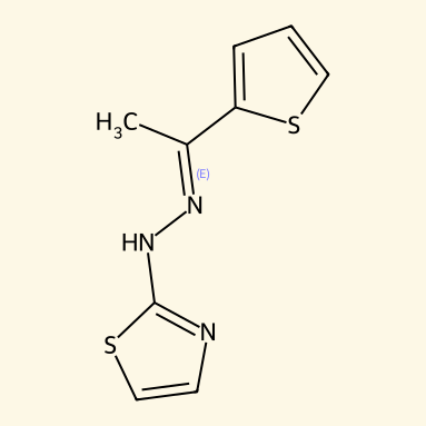 C/C(=N\Nc1nccs1)c1cccs1